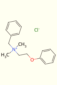 C[N+](C)(CCOc1ccccc1)Cc1ccccc1.[Cl-]